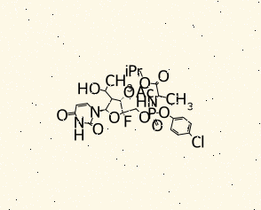 CC(=O)O[C@H]1C(C(C)O)[C@H](n2ccc(=O)[nH]c2=O)O[C@]1(F)COP(=O)(NC(C)C(=O)OC(C)C)Oc1ccc(Cl)cc1